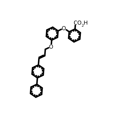 O=C(O)c1ccccc1Oc1cccc(OCC=Cc2ccc(-c3ccccc3)cc2)c1